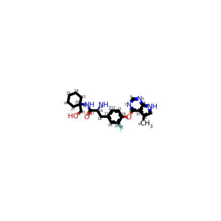 Cc1c[nH]c2ncnc(Oc3ccc(C[C@H](N)C(=O)NC4(CO)CCCCC4)cc3F)c12